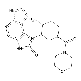 CC1CCN(C(=O)N2CCOCC2)CC1n1c(=O)[nH]c2cnc3[nH]ccc3c21